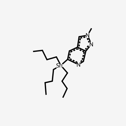 CCC[CH2][Sn]([CH2]CCC)([CH2]CCC)[c]1cc2cn(C)nc2cn1